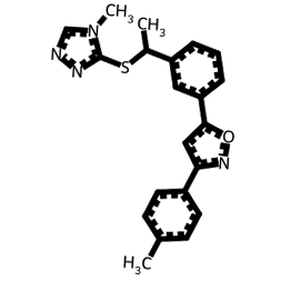 Cc1ccc(-c2cc(-c3cccc(C(C)Sc4nncn4C)c3)on2)cc1